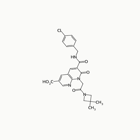 CC1(C)CN(C(=O)Cn2c(=O)c(C(=O)NCc3ccc(Cl)cc3)cc3cc(C(=O)O)cnc32)C1